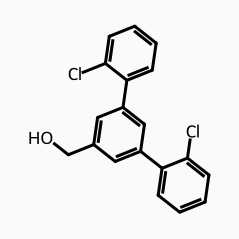 OCc1cc(-c2ccccc2Cl)cc(-c2ccccc2Cl)c1